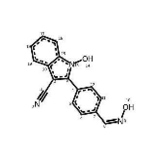 N#Cc1c(-c2ccc(/C=N\O)cc2)n(O)c2ccccc12